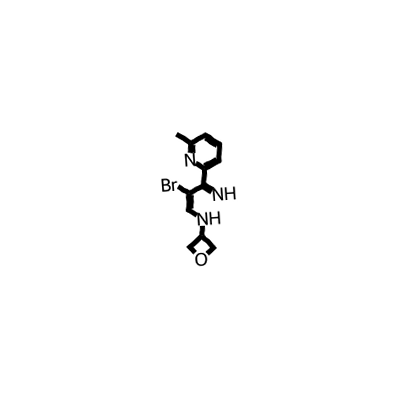 Cc1cccc(C(=N)/C(Br)=C\NC2COC2)n1